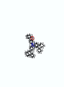 c1ccc(-c2ccccc2-c2ccc(N(c3ccc(-c4cc5ccccc5c5ccccc45)cc3)c3ccc4c(c3)oc3ccccc34)cc2)cc1